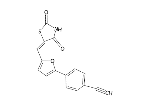 C#Cc1ccc(-c2ccc(C=C3SC(=O)NC3=O)o2)cc1